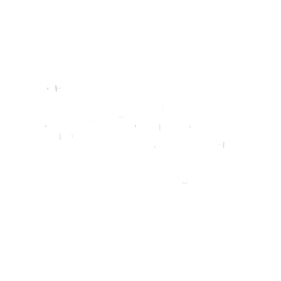 CCOP(=O)(OCC)Oc1ccccc1C(C)(C)CC(=O)O